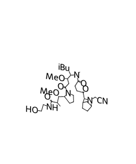 CCC(C)C(C(CC(=O)N1CCCC1C(OC)C(C)C(=O)NCCO)OC)N(C)C(=O)CCC(=O)C1C2CCC(C2)N1CC#N